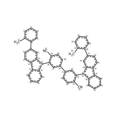 Cc1ccccc1-c1ccc2c3ccccc3n(-c3cc(-c4ccc(C#N)c(-n5c6ccccc6c6ccc(-c7ccccc7C)cc65)c4)ccc3C#N)c2c1